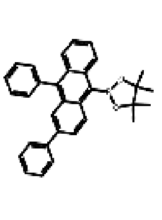 CC1(C)OB(c2c3ccccc3c(-c3ccccc3)c3cc(-c4ccccc4)ccc23)OC1(C)C